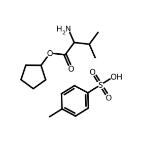 CC(C)C(N)C(=O)OC1CCCC1.Cc1ccc(S(=O)(=O)O)cc1